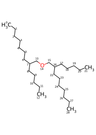 CCCCCCCC(CCCCC)COCC(CCCCC)CCCCCCC